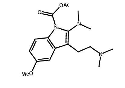 COc1ccc2c(c1)c(CCN(C)C)c(N(C)C)n2C(=O)OC(C)=O